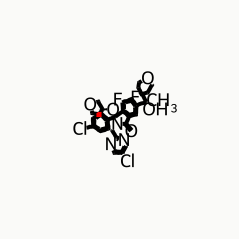 CC(O)(c1cc(F)c2c(c1)C(=O)N(Cc1ncc(Cl)cn1)[C@@]2(O[C@H]1CCOC1)c1ccc(Cl)cc1)C1(F)CCOCC1